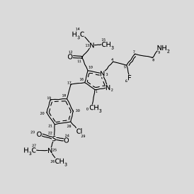 Cc1nn(CC(F)=CCN)c(C(=O)N(C)C)c1Cc1ccc(S(=O)(=O)N(C)C)c(Cl)c1